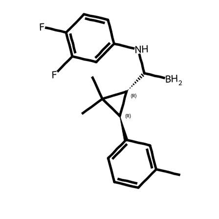 BC(Nc1ccc(F)c(F)c1)[C@@H]1[C@@H](c2cccc(C)c2)C1(C)C